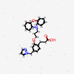 O=C(O)CCc1ccc(Cn2cccn2)cc1OCCCN1c2ccccc2Oc2ccccc21